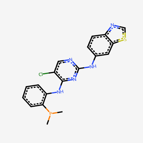 CP(C)c1ccccc1Nc1nc(Nc2ccc3ncsc3c2)ncc1Cl